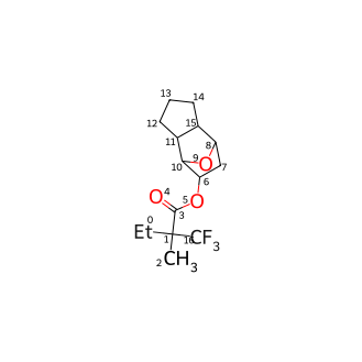 CCC(C)(C(=O)OC1CC2OC1C1CCCC21)C(F)(F)F